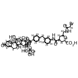 C[C@]12C=CC(=O)C=C1CC[C@@H]1[C@@H]2[C@@H](O)C[C@@]2(C)[C@H]1C[C@H]1O[C@@H](c3ccc(Cc4cccc(NC(=O)[C@H](CCC(=O)O)CC(=O)CNC(=O)CBr)c4)cc3)O[C@]12C(=O)COP(=O)(O)O